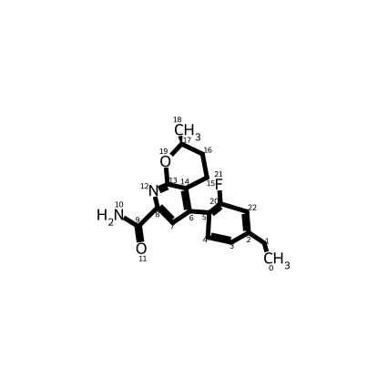 CCc1ccc(-c2cc(C(N)=O)nc3c2CC[C@H](C)O3)c(F)c1